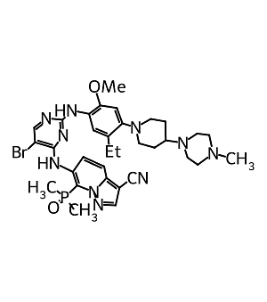 CCc1cc(Nc2ncc(Br)c(Nc3ccc4c(C#N)cnn4c3P(C)(C)=O)n2)c(OC)cc1N1CCC(N2CCN(C)CC2)CC1